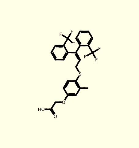 Cc1cc(OCC(=O)O)ccc1SCC=C(c1ccccc1C(F)(F)F)c1ccccc1C(F)(F)F